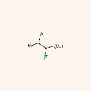 CCC(Br)C(Br)C(=O)O